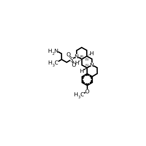 COc1ccc2c(c1)CCN1C[C@@H]3CCCN(S(=O)(=O)CC(C)CN)[C@@H]3C[C@@H]21